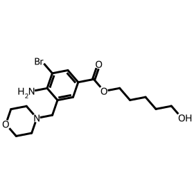 Nc1c(Br)cc(C(=O)OCCCCCO)cc1CN1CCOCC1